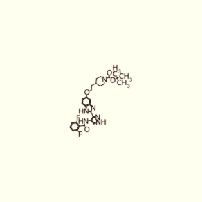 CC(C)(C)OC(=O)N1CCC(CCOc2ccc3[nH]c(-c4n[nH]cc4NC(=O)c4c(F)cccc4F)nc3c2)CC1